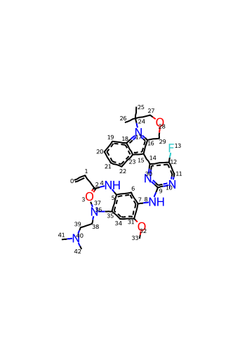 C=CC(=O)Nc1cc(Nc2ncc(F)c(-c3c4n(c5ccccc35)C(C)(C)COC4)n2)c(OC)cc1N(C)CCN(C)C